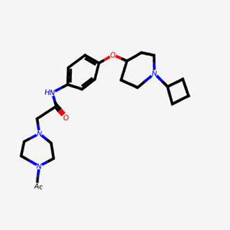 CC(=O)N1CCN(CC(=O)Nc2ccc(OC3CCN(C4CCC4)CC3)cc2)CC1